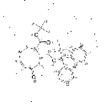 CC(C)(C)OC(=O)N1CC/C=C\C(=O)C[C@H]1CO[Si](c1ccccc1)(c1ccccc1)C(C)(C)C